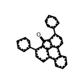 O=c1c2c(-c3ccccc3)ccc3c4ccccc4c4ccc(-c5ccccc5)c1c4c23